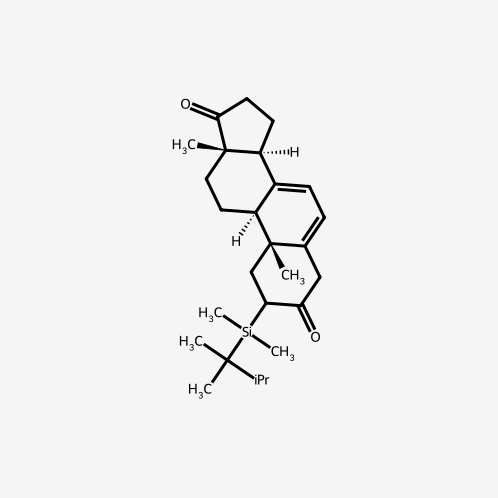 CC(C)C(C)(C)[Si](C)(C)C1C[C@@]2(C)C(=CC=C3[C@@H]2CC[C@]2(C)C(=O)CC[C@@H]32)CC1=O